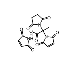 CC(C(=O)O)(N1C(=O)C=CC1=O)N1C(=O)CCC1=O.O=C1C=CC(=O)N1